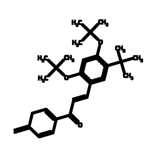 CC(C)(C)Oc1cc(OC(C)(C)C)c(C(C)(C)C)cc1C=CC(=O)C1=CCC(=S)C=C1